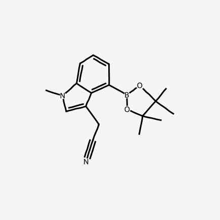 Cn1cc(CC#N)c2c(B3OC(C)(C)C(C)(C)O3)cccc21